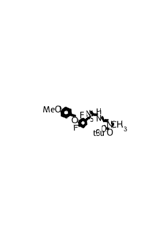 COc1ccc(COc2c(F)ccc(-c3ncc(CNCCCN(C)C(=O)OC(C)(C)C)s3)c2F)cc1